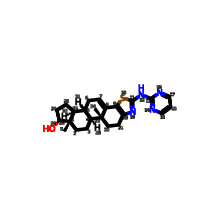 C[C@]12CC[C@H]3[C@@H](CC=C4c5sc(Nc6ncccn6)nc5CC[C@@]43C)[C@@H]1CC[C@@H]2O